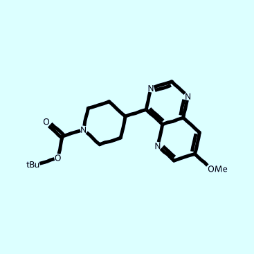 COc1cnc2c(C3CCN(C(=O)OC(C)(C)C)CC3)ncnc2c1